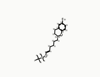 CC(C)(C)[Si](C)(C)OC=CCCCC[C@H]1CCc2cc(F)ccc2O1